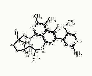 Cc1nc2c3c(nc(-c4cc(N)ncc4OC(F)(F)F)c(F)c3c1C)O[C@@H](C)[C@@H]1[C@@H]3CC[C@H](CN21)N3